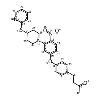 CC(=O)CCc1ccc(Oc2ccc([N+](=O)[O-])c(N3CCC(Sc4ccccn4)CC3)c2)cc1